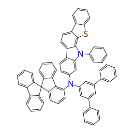 c1ccc(-c2cc(-c3ccccc3)cc(N(c3ccc4c5ccc6c7ccccc7sc6c5n(-c5ccccc5)c4c3)c3cccc4c3-c3ccccc3C43c4ccccc4-c4ccccc43)c2)cc1